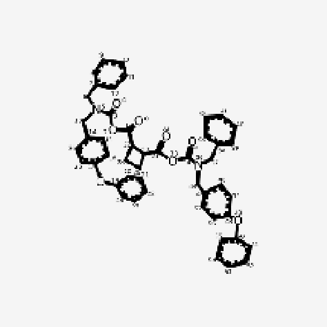 O=C(OC(=O)N(Cc1ccccc1)Cc1ccc(Oc2ccccc2)cc1)C1CCC1C(=O)OC(=O)N(Cc1ccccc1)Cc1ccc(Oc2ccccc2)cc1